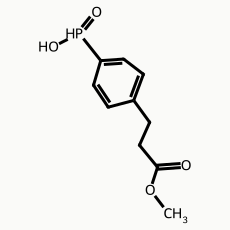 COC(=O)CCc1ccc([PH](=O)O)cc1